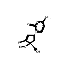 C#C[C@]1(OCC)C[C@@H](n2ccc(N)nc2=O)C=C1F